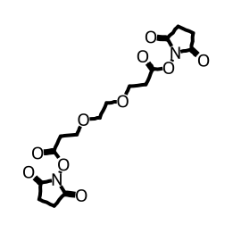 O=C(CCOCCOCCC(=O)ON1C(=O)CCC1=O)ON1C(=O)CCC1=O